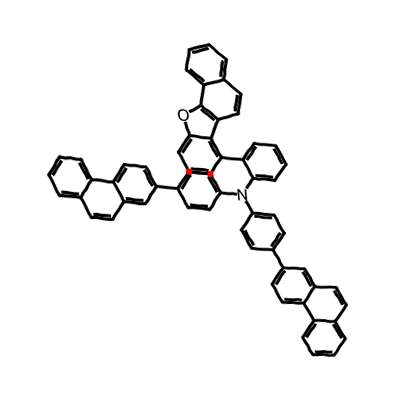 c1ccc(N(c2ccc(-c3ccc4c(ccc5ccccc54)c3)cc2)c2ccc(-c3ccc4c(ccc5ccccc54)c3)cc2)c(-c2cccc3oc4c5ccccc5ccc4c23)c1